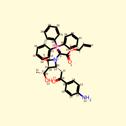 C=CCOC(=O)C(N1C(=O)[C@H]([C@@H](C)O)[C@H]1CC(=O)c1ccc(N)cc1)=P(c1ccccc1)(c1ccccc1)c1ccccc1